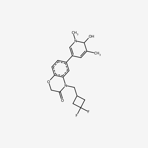 CC1=CC(c2ccc3c(c2)N(CC2CC(F)(F)C2)C(=O)CO3)=CN(C)C1O